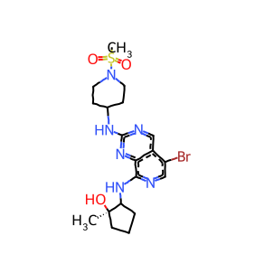 C[C@@]1(O)CCCC1Nc1ncc(Br)c2cnc(NC3CCN(S(C)(=O)=O)CC3)nc12